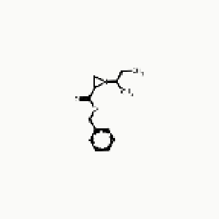 CCC(C)N1CC1C(=O)OCc1ccccc1